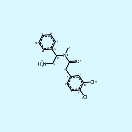 CN(C(=O)Cc1ccc(Cl)c(Cl)c1)C(CN)c1ccccc1